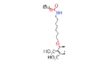 CC(C)(C)OC(=O)NCCCCCCCCOc1cccc(C(=O)O)c1C(=O)O